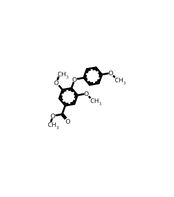 COC(=O)c1cc(OC)c(Oc2ccc(OC)cc2)c(OC)c1